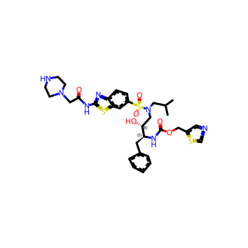 CC(C)CN(C[C@@H](O)[C@H](Cc1ccccc1)NC(=O)OCc1cncs1)S(=O)(=O)c1ccc2nc(NC(=O)CN3CCNCC3)sc2c1